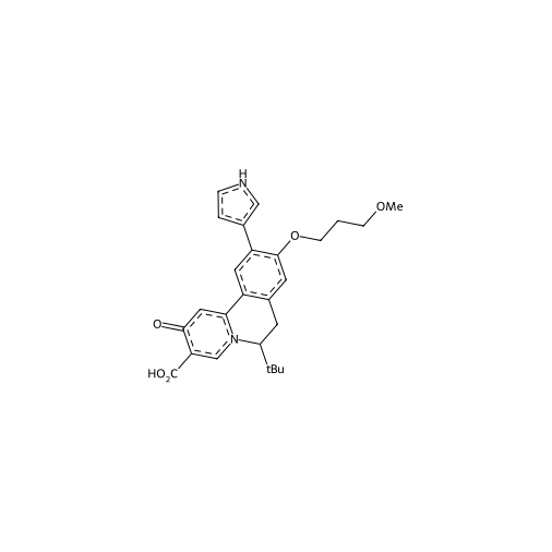 COCCCOc1cc2c(cc1-c1cc[nH]c1)-c1cc(=O)c(C(=O)O)cn1C(C(C)(C)C)C2